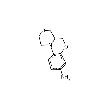 Nc1ccc2c(c1)OCC1COCCN21